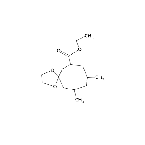 CCOC(=O)C1CC(C)CC(C)CC2(C1)OCCO2